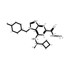 CC1CCC(Cn2cnc3nc(C(=O)NN)nc(N[C@H](C)C4CCC4)c32)CC1